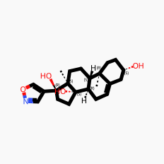 C[C@]12CC[C@H]3[C@@H](CC=C4C[C@@H](O)CC[C@@]43C)[C@@]1(O)CC[C@]2(O)c1cnoc1